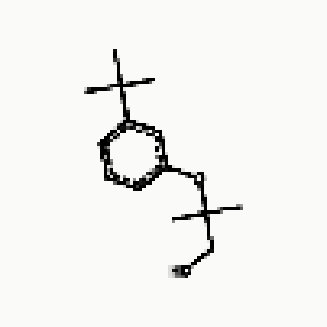 CC(C)(CO)Oc1cccc(C(C)(C)C)c1